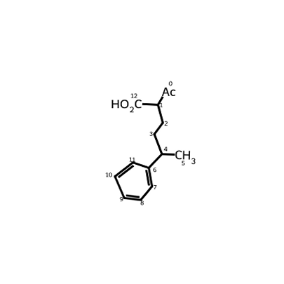 CC(=O)C(CCC(C)c1ccccc1)C(=O)O